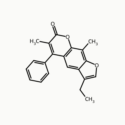 CCc1coc2c(C)c3oc(=O)c(C)c(-c4ccccc4)c3cc12